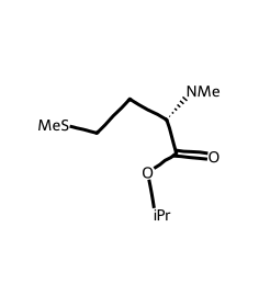 CN[C@@H](CCSC)C(=O)OC(C)C